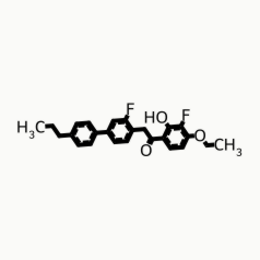 CCCc1ccc(-c2ccc(CC(=O)c3ccc(OCC)c(F)c3O)c(F)c2)cc1